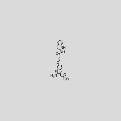 CC(C)COC(=O)CN1Cc2ccc(OCCCC(=O)NC3CCc4ccccc4N3)cc2N=C1N